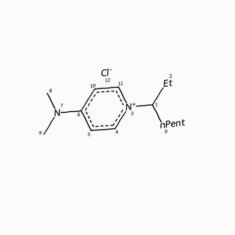 CCCCCC(CC)[n+]1ccc(N(C)C)cc1.[Cl-]